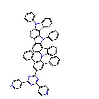 c1ccc(-c2cc(-c3nc(-c4ccncc4)nc(-c4ccncc4)n3)cc(-c3ccccc3)c2-n2c3ccccc3c3c2ccc2c4ccc5c(c6ccccc6n5-c5ccccc5)c4n(-c4ccccc4)c23)cc1